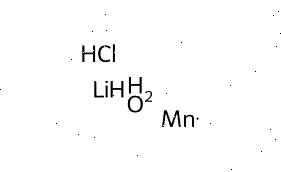 Cl.O.[LiH].[Mn]